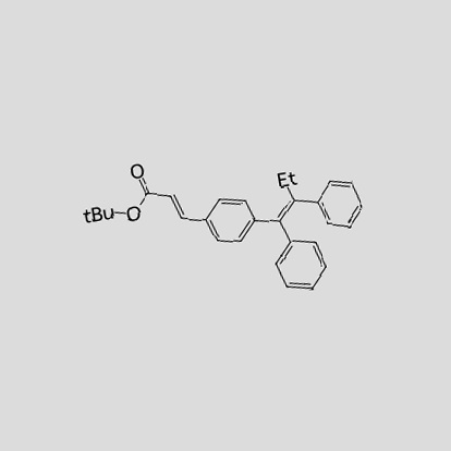 CCC(=C(c1ccccc1)c1ccc(C=CC(=O)OC(C)(C)C)cc1)c1ccccc1